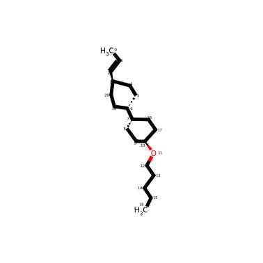 C/C=C/[C@H]1CC[C@H]([C@H]2CC[C@H](OCCCCC)CC2)CC1